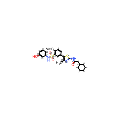 COc1ccc(-c2sc(NC(=O)CC3CCCCC3)nc2C)cc1S(=O)(=O)Nc1cccc(O)c1